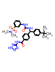 CN(C)S(=O)(=O)c1cccc(NC(=O)NC(c2ccc(C(=O)Nc3nn[nH]n3)cc2)c2ccc(C(C)(C)C)cc2)c1